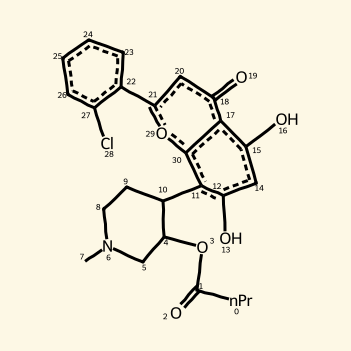 CCCC(=O)OC1CN(C)CCC1c1c(O)cc(O)c2c(=O)cc(-c3ccccc3Cl)oc12